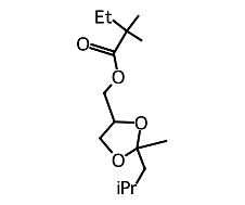 CCC(C)(C)C(=O)OCC1COC(C)(CC(C)C)O1